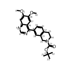 COc1cc2ncnc(-c3ccc4c(c3)CN(C(=O)OC(C)(C)C)CC4)c2cc1OC